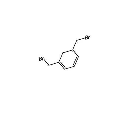 BrC[C]1C=CC=C(CBr)C1